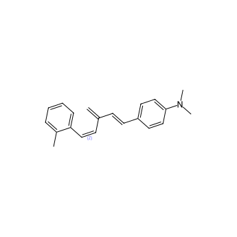 C=C(C=Cc1ccc(N(C)C)cc1)/C=C\c1ccccc1C